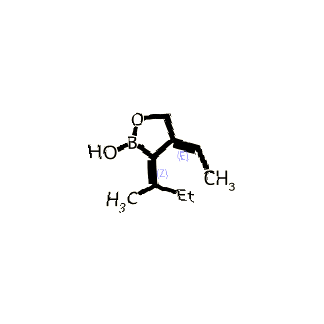 C/C=C1/COB(O)/C1=C(\C)CC